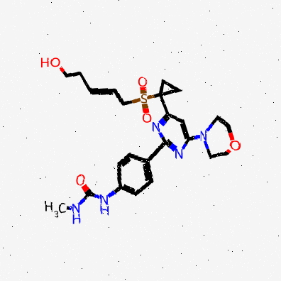 CNC(=O)Nc1ccc(-c2nc(N3CCOCC3)cc(C3(S(=O)(=O)CC=CCCO)CC3)n2)cc1